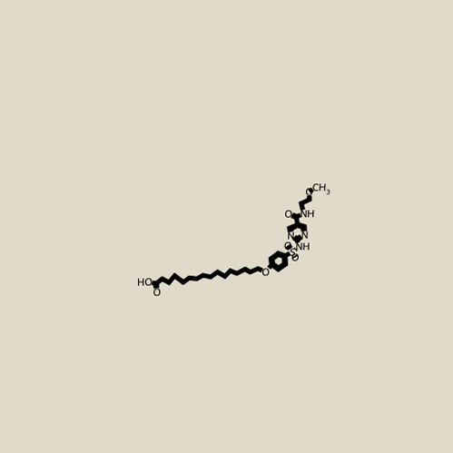 COCCNC(=O)c1cnc(NS(=O)(=O)c2ccc(OCCCCCCCCCCCCCCCC(=O)O)cc2)nc1